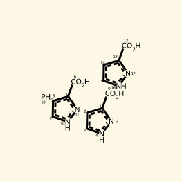 O=C(O)c1cc[nH]n1.O=C(O)c1cc[nH]n1.O=C(O)c1cc[nH]n1.P